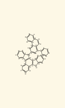 c1ccc(-c2nc(-n3c4ccccc4c4c5ccncc5c5oc6ccccc6c5c43)nc3c2ccc2ccccc23)cc1